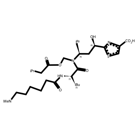 CC[C@H](C)[C@H](NC(=O)CCCCCNC)C(=O)N(COC(=O)CC(C)C)[C@H](C[C@@H](O)c1nc(C(=O)O)cs1)C(C)C